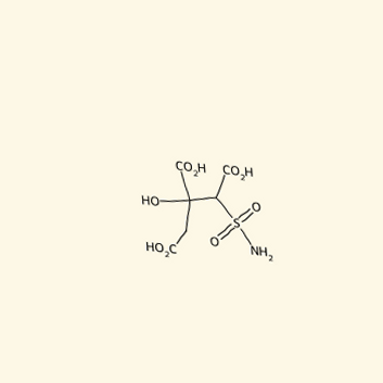 NS(=O)(=O)C(C(=O)O)C(O)(CC(=O)O)C(=O)O